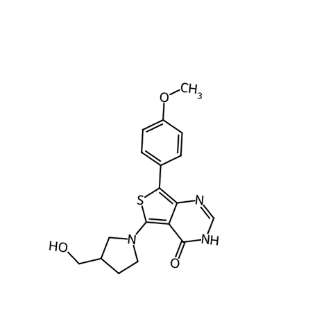 COc1ccc(-c2sc(N3CCC(CO)C3)c3c(=O)[nH]cnc23)cc1